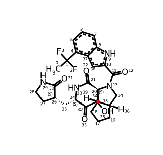 CC(F)(F)c1cccc2[nH]c(C(=O)N3C[C@@H]4CCC[C@@H]4[C@H]3C(=O)N[C@@H](C[C@@H]3CCNC3=O)C(=O)CO)cc12